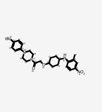 Cc1cc([N+](=O)[O-])ccc1NC1CCC(OCC(=O)N2CCN(c3ccc(C(C)(C)C)cc3)CC2)CC1